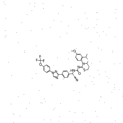 COc1ccc(N2/C(=N/C(=O)NC(C#N)c3ccc(-c4ncn(-c5ccc(OC(F)(F)F)cc5)n4)cc3)SCCC2C)c(C(C)C)c1